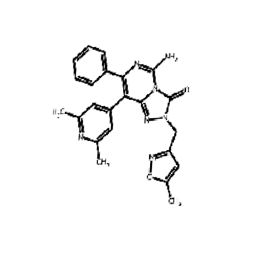 Cc1cc(-c2c(-c3ccccc3)nc(N)n3c(=O)n(Cc4cc(C)on4)nc23)cc(C)n1